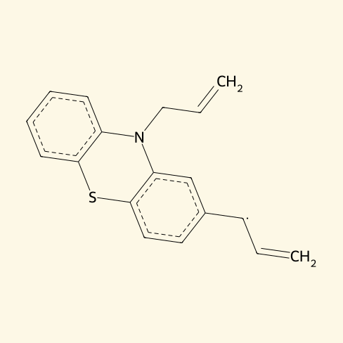 C=C[CH]c1ccc2c(c1)N(CC=C)c1ccccc1S2